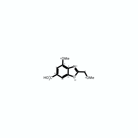 COCc1nc2c(OC)cc(C(=O)O)cc2o1